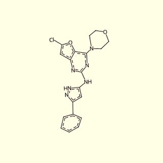 Clc1cc2nc(Nc3cc(-c4ccccc4)n[nH]3)nc(N3CCOCC3)c2o1